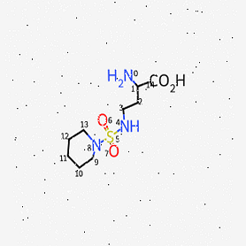 NC(CCNS(=O)(=O)N1CCCCC1)C(=O)O